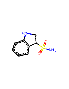 NS(=O)(=O)C1CNc2ccccc21